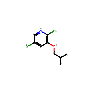 CC(C)COc1cc(Br)cnc1Cl